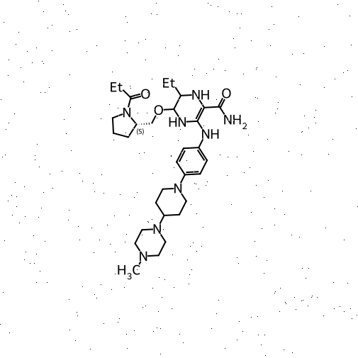 CCC(=O)N1CCC[C@H]1COC1NC(Nc2ccc(N3CCC(N4CCN(C)CC4)CC3)cc2)=C(C(N)=O)NC1CC